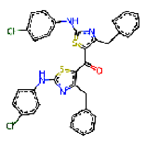 O=C(c1sc(Nc2ccc(Cl)cc2)nc1Cc1ccccc1)c1sc(Nc2ccc(Cl)cc2)nc1Cc1ccccc1